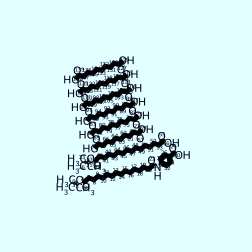 CC(C)(C)OC(=O)CCCCCCCCCCCCCCC(=O)Nc1ccc(C(=O)O)cc1.CC(C)(C)OC(=O)CCCCCCCCCCCCCCC(=O)O.O=C(O)CCCCCCCCC(=O)O.O=C(O)CCCCCCCCC(=O)O.O=C(O)CCCCCCCCC(=O)O.O=C(O)CCCCCCCCC(=O)O.O=C(O)CCCCCCCCC(=O)O.O=C(O)CCCCCCCCC(=O)O